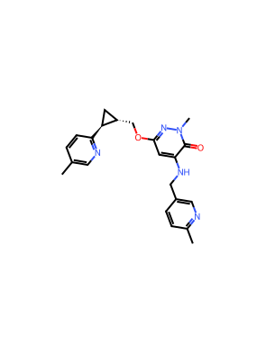 Cc1ccc([C@H]2C[C@@H]2COc2cc(NCc3ccc(C)nc3)c(=O)n(C)n2)nc1